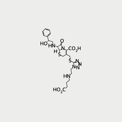 O=C(O)CCCNCCn1nnnc1SCC1=C(C(=O)O)N2C(=O)C(NCC(O)c3ccccc3)[C@@H]2SC1